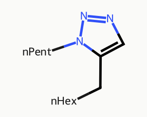 CCCCCCCc1cnnn1CCCCC